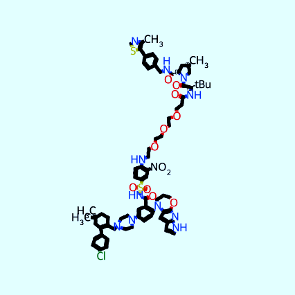 Cc1ncsc1-c1ccc(CNC(=O)[C@@H]2C[C@@H](C)CN2C(=O)[C@@H](NC(=O)CCOCCOCCOCCNc2ccc(S(=O)(=O)NC(=O)c3cc(N4CCN(CC5=C(c6ccc(Cl)cc6)CC(C)(C)CC5)CC4)ccc3N3CCCOc4nc5[nH]ccc5cc43)cc2[N+](=O)[O-])C(C)(C)C)cc1